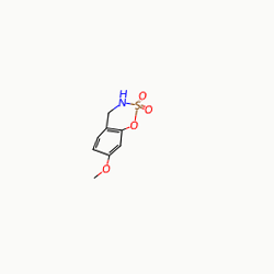 COc1ccc2c(c1)OS(=O)(=O)NC2